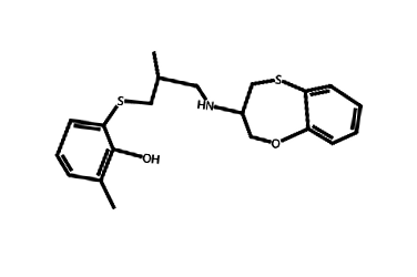 Cc1cccc(SCC(C)CNC2COc3ccccc3SC2)c1O